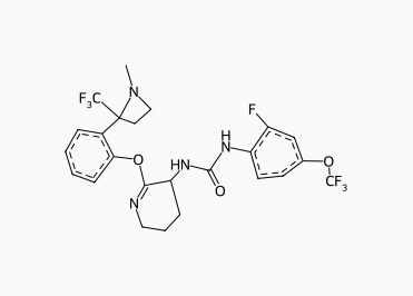 CN1CCC1(c1ccccc1OC1=NCCCC1NC(=O)Nc1ccc(OC(F)(F)F)cc1F)C(F)(F)F